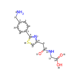 NCc1ccc(-c2nc(CC(=O)NCC(=O)O)cs2)cc1